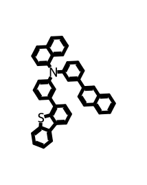 c1cc(-c2ccc3ccccc3c2)cc(N(c2cccc(-c3cccc4c3sc3ccccc34)c2)c2cccc3ccccc23)c1